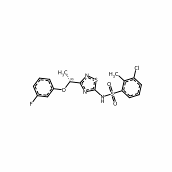 Cc1c(Cl)cccc1S(=O)(=O)Nc1nc([C@@H](C)Oc2cccc(F)c2)ns1